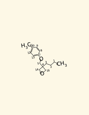 CCCCC1(COc2ccc(C)cc2)COC1